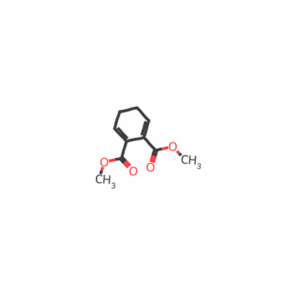 COC(=O)C1=CCCC=C1C(=O)OC